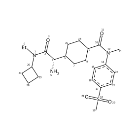 CCN(C(=O)[C@@H](N)C1CCC(C(=O)N(C)c2ccc(S(C)(=O)=O)cc2)CC1)C1CCC1